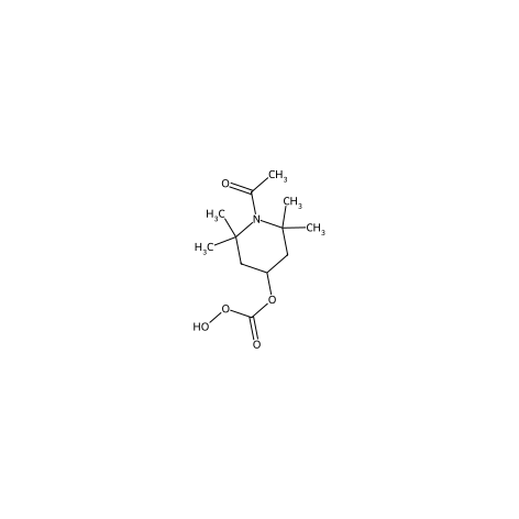 CC(=O)N1C(C)(C)CC(OC(=O)OO)CC1(C)C